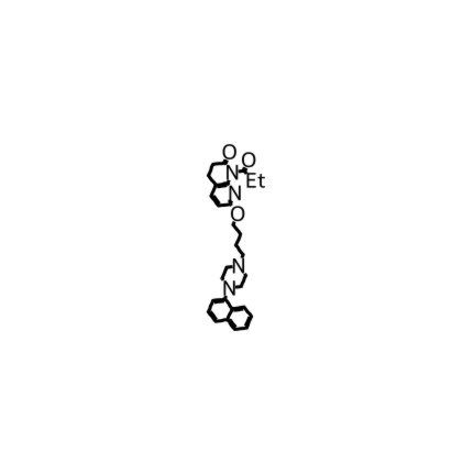 CCC(=O)N1C(=O)CCc2ccc(OCCCCN3CCN(c4cccc5ccccc45)CC3)nc21